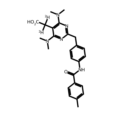 [2H]C([2H])(C(=O)O)c1c(N(C)C)nc(Cc2ccc(NC(=O)c3ccc(C)cc3)cc2)nc1N(C)C